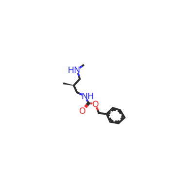 CNC[C@H](C)CNC(=O)OCc1ccccc1